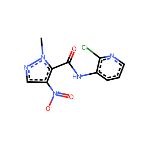 Cn1ncc([N+](=O)[O-])c1C(=O)Nc1cccnc1Cl